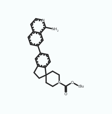 CC(C)(C)OC(=O)N1CCC2(CCc3cc(-c4ccc5ccnc(N)c5c4)ccc32)CC1